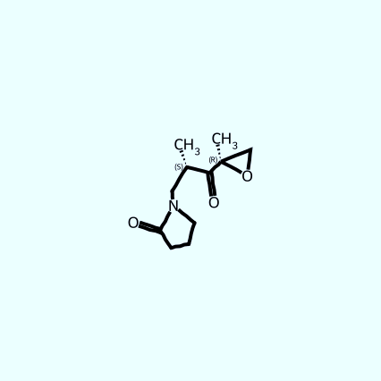 C[C@@H](CN1CCCC1=O)C(=O)[C@@]1(C)CO1